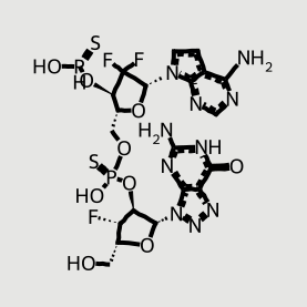 Nc1nc2c(nnn2[C@@H]2O[C@H](CO)[C@H](F)[C@H]2OP(O)(=S)OC[C@H]2O[C@@H](n3ccc4c(N)ncnc43)C(F)(F)[C@@H]2O[PH](O)=S)c(=O)[nH]1